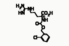 N=C(N)NCCC[C@H](NC(=O)OCc1ccccc1Cl)C(=O)O